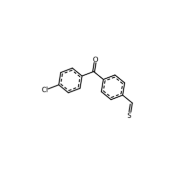 O=C(c1ccc(Cl)cc1)c1ccc(C=S)cc1